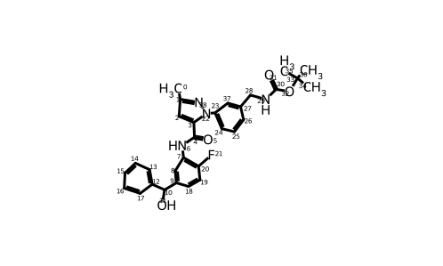 Cc1cc(C(=O)Nc2cc(C(O)c3ccccc3)ccc2F)n(-c2cccc(CNC(=O)OC(C)(C)C)c2)n1